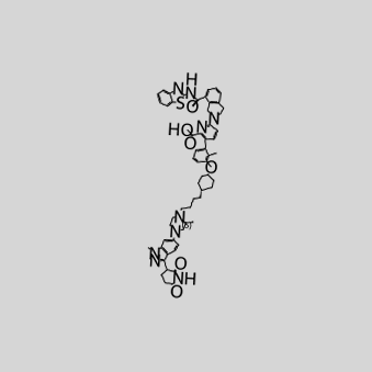 Cc1c(O[C@H]2CC[C@H](CCCCN3CCN(c4ccc5c(C6CCC(=O)NC6=O)nn(C)c5c4)C[C@@H]3C)CC2)cccc1-c1ccc(N2CCc3cccc(C(=O)Nc4nc5ccccc5s4)c3C2)nc1C(=O)O